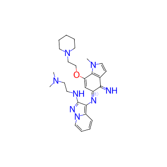 CN(C)CCNc1nn2ccccc2c1/N=C1\C=C(OCCN2CCCCC2)c2c(ccn2C)C1=N